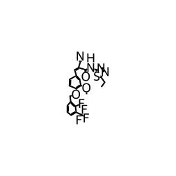 CCc1nnc(NC(=O)C(C#N)=Cc2ccc(OCc3cccc(C(F)(F)F)c3F)c(OC)c2)s1